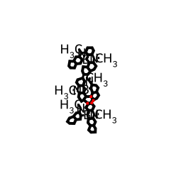 CN1c2cc3ccccc3cc2B2c3cc4ccccc4cc3N(C)c3cc(-c4ccc5ccc6c(c5c4)B4c5c(ccc(-c7ccc8c9c(ccc8c7)N(C)c7cccc8c7B9c7cc9ccccc9cc7N8C)c5N6C)N(C)c5ccc6ccccc6c54)cc1c32